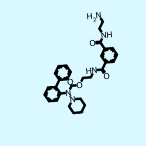 NCCNC(=O)c1cccc(C(=O)NCCOC(=O)N(c2ccccc2-c2ccccc2)N2CC[CH]CC2)c1